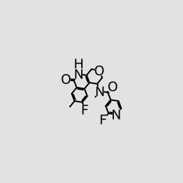 Cc1cc2c(=O)[nH]c3c(c2cc1F)C(N(C)C(=O)c1ccnc(F)c1)COC3